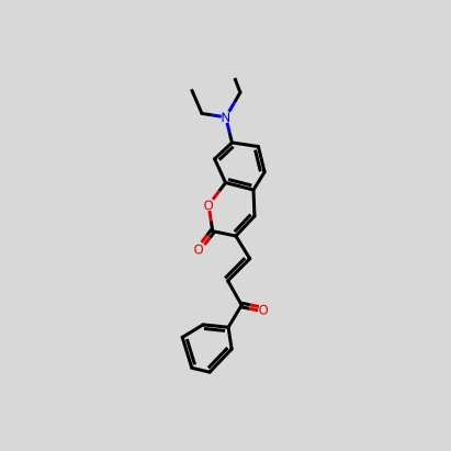 CCN(CC)c1ccc2cc(/C=C/C(=O)c3ccccc3)c(=O)oc2c1